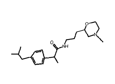 CC(C)Cc1ccc(C(C)C(=O)NCCCC2CN(C)CCO2)cc1